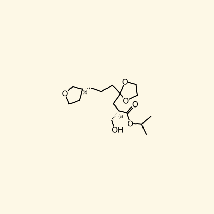 CC(C)OC(=O)[C@H](CO)CC1(CCC[C@@H]2CCOC2)OCCO1